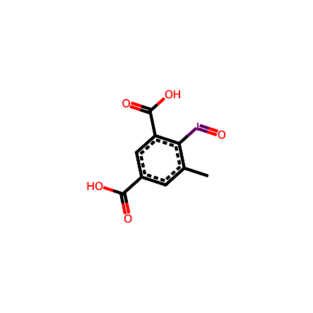 Cc1cc(C(=O)O)cc(C(=O)O)c1I=O